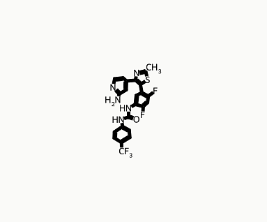 Cc1nc(-c2ccnc(N)c2)c(-c2cc(NC(=O)Nc3ccc(C(F)(F)F)cc3)c(F)cc2F)s1